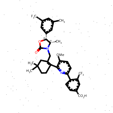 COc1ccc(-c2ccc(C(=O)O)cc2C(F)(F)F)nc1C1=C(CN2C(=O)O[C@H](c3cc(C)cc(C(F)(F)F)c3)[C@@H]2C)CC(C)(C)CC1